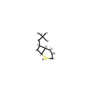 CC(C)(C)CC1CC2SCCCC12